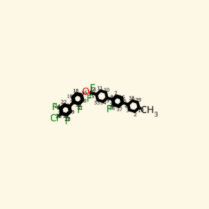 CC1CCC(c2ccc(C3CCC(C(F)(F)Oc4ccc(-c5cc(F)c(Cl)c(F)c5)c(F)c4)CC3)c(F)c2)CC1